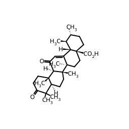 C[C@H]1[C@H](C)CC[C@]2(C(=O)O)CC[C@]3(C)C(=CC(=O)[C@@H]4[C@@]5(C)CCC(=O)C(C)(C)[C@@H]5CC[C@]43C)[C@H]12